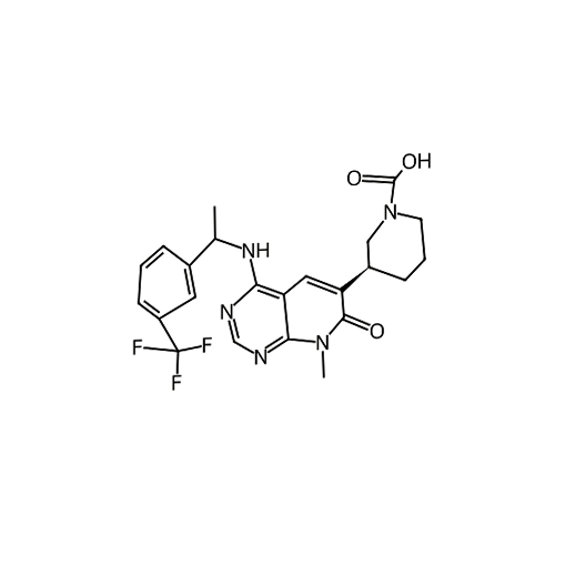 CC(Nc1ncnc2c1cc([C@@H]1CCCN(C(=O)O)C1)c(=O)n2C)c1cccc(C(F)(F)F)c1